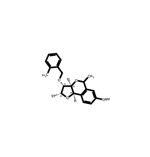 CC[C@H]1O[C@@H]2c3ccc(OC)cc3C(C)O[C@@H]2[C@H]1OCc1ccccc1C